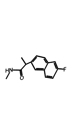 CNC(=O)C(C)c1ccc2cc(F)ccc2c1